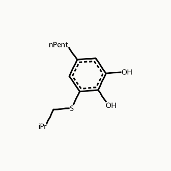 CCCCCc1cc(O)c(O)c(SCC(C)C)c1